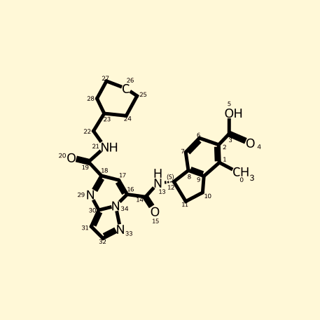 Cc1c(C(=O)O)ccc2c1CC[C@@H]2NC(=O)c1cc(C(=O)NCC2CCCCC2)nc2ccnn12